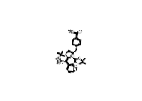 C[SiH](O[C@H](c1cccnc1)[C@H]1CC[C@@H](Cc2ccc(C(=O)O)cc2)N1C(=O)OC(C)(C)C)C(C)(C)C